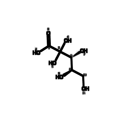 O=C(O)C(O)(O)[C@H](O)[C@H](O)CO